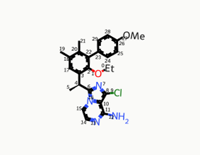 CCOc1c([C@H](C)c2nc(Cl)c3c(N)nccn23)cc(C)c(C)c1-c1ccc(OC)cc1